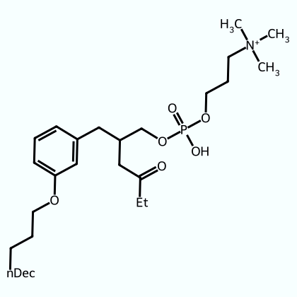 CCCCCCCCCCCCCOc1cccc(CC(COP(=O)(O)OCCC[N+](C)(C)C)CC(=O)CC)c1